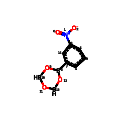 O=[N+]([O-])c1cccc(B2OBOBO2)c1